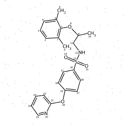 Cc1cccc(C)c1OC(C)CNS(=O)(=O)c1ccc(Oc2ccccn2)cc1